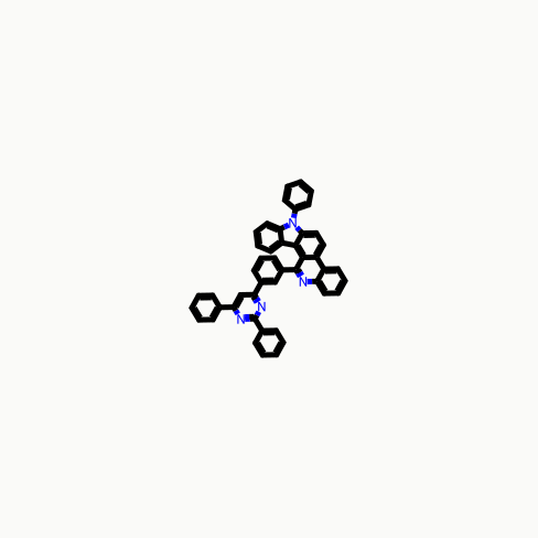 c1ccc(-c2cc(-c3cccc(-c4nc5ccccc5c5ccc6c(c7ccccc7n6-c6ccccc6)c45)c3)nc(-c3ccccc3)n2)cc1